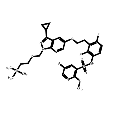 COc1ncc(F)cc1S(=O)(=O)Nc1ccc(F)c(CCOc2cnc3c(c2)c(C2CC2)nn3COCC[Si](C)(C)C)c1F